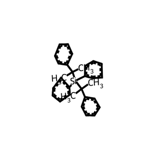 CC(C)(c1ccccc1)[Si](c1ccccc1)(c1ccccc1)C(C)(C)c1ccccc1